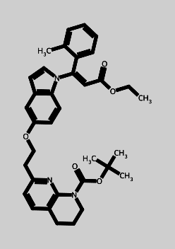 CCOC(=O)C=C(c1ccccc1C)n1ccc2cc(OCCc3ccc4c(n3)N(C(=O)OC(C)(C)C)CCC4)ccc21